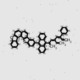 C=CC(=C\C(=C)c1c2ccccc2c(-c2ccc3sc4c(ccc5ccc6oc7ccccc7c6c54)c3c2)c2ccccc12)/C=C(\C=C)c1ccccc1